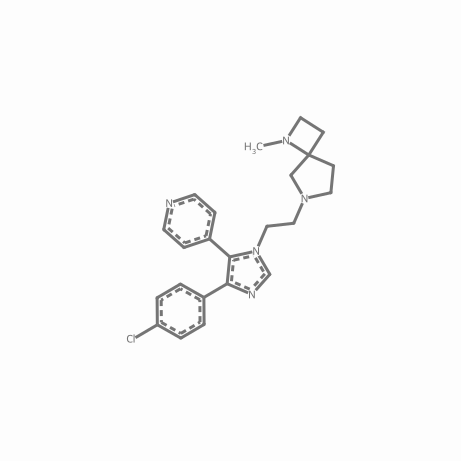 CN1CCC12CCN(CCn1cnc(-c3ccc(Cl)cc3)c1-c1ccncc1)C2